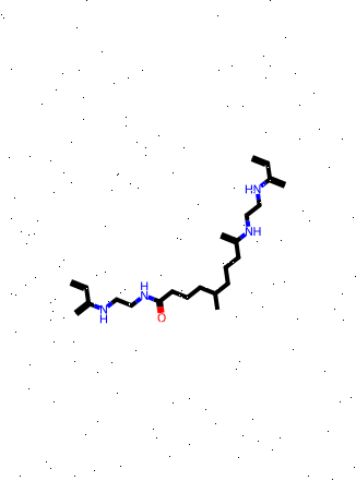 C=CC(=C)NCCNC(=C)CCCC(C)CCCC(=O)NCCNC(=C)C=C